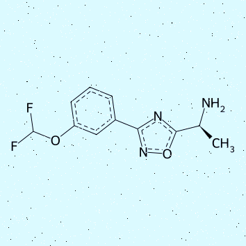 C[C@H](N)c1nc(-c2cccc(OC(F)F)c2)no1